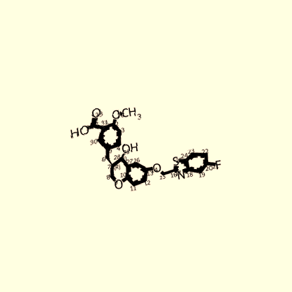 COc1ccc(C[C@@H]2COc3ccc(OCc4nc5cc(F)ccc5s4)cc3[C@@H]2O)cc1C(=O)O